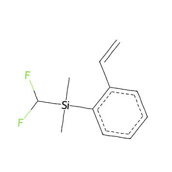 C=Cc1ccccc1[Si](C)(C)C(F)F